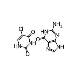 Nc1nc2[nH]cnc2c(=O)[nH]1.O=c1[nH]cc(Cl)c(=O)[nH]1